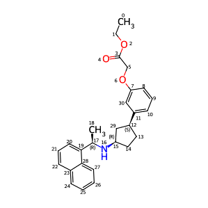 CCOC(=O)COc1cccc([C@H]2CC[C@@H](N[C@H](C)c3cccc4ccccc34)C2)c1